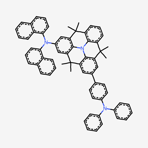 CC1(C)c2cccc3c2N2c4c1cc(-c1ccc(N(c5ccccc5)c5ccccc5)cc1)cc4C(C)(C)c1cc(N(c4cccc5ccccc45)c4cccc5ccccc45)cc(c12)C3(C)C